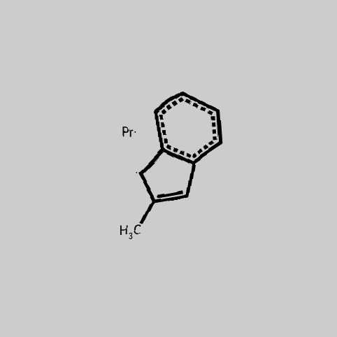 CC1=Cc2ccccc2[CH]1.[Pr]